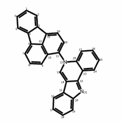 c1ccc2c(c1)-c1cccc3c(-n4cc5c6ccccc6nc-5c5ccccc54)ccc-2c13